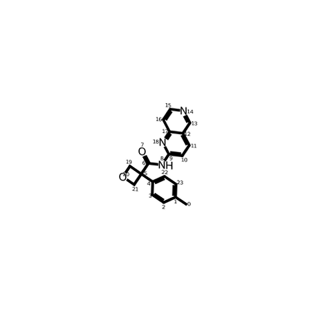 Cc1ccc(C2(C(=O)Nc3ccc4cnccc4n3)COC2)cc1